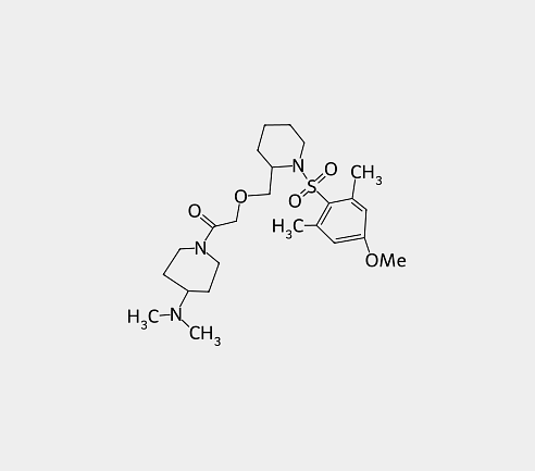 COc1cc(C)c(S(=O)(=O)N2CCCCC2COCC(=O)N2CCC(N(C)C)CC2)c(C)c1